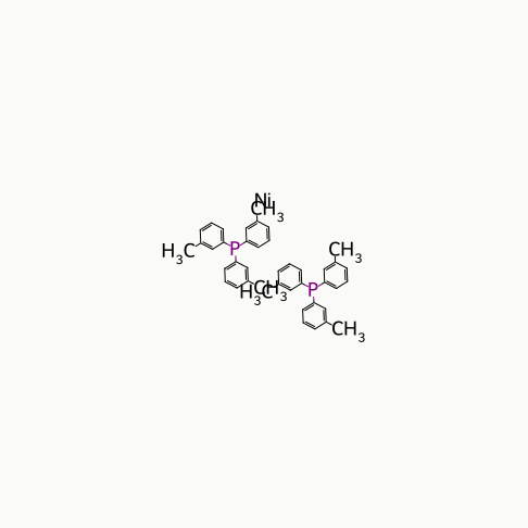 Cc1cccc(P(c2cccc(C)c2)c2cccc(C)c2)c1.Cc1cccc(P(c2cccc(C)c2)c2cccc(C)c2)c1.[Ni]